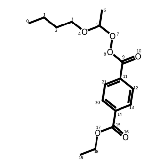 CCCCOC(C)OOC(=O)c1ccc(C(=O)OCC)cc1